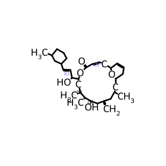 C=C1CC(C)CC2CC=CC(C/C=C\C(=O)OC(C(O)/C=C/C3CCCC(C)C3)C[C@H](C)C(C)[C@@H](O)C1)O2